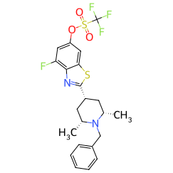 C[C@@H]1C[C@H](c2nc3c(F)cc(OS(=O)(=O)C(F)(F)F)cc3s2)C[C@H](C)N1Cc1ccccc1